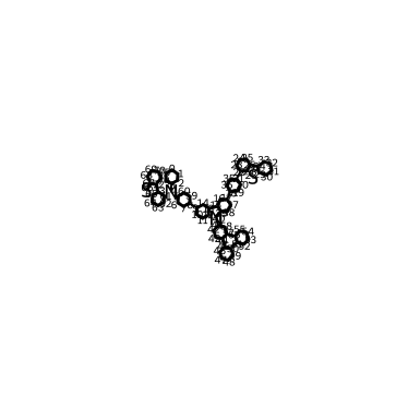 c1ccc(N(c2ccc(-c3ccc4c(c3)c3cc(-c5ccc(-c6cccc7c6sc6ccccc67)cc5)ccc3n4-c3ccc4c5ccccc5c5ccccc5c4c3)cc2)c2cccc3sc4ccccc4c23)cc1